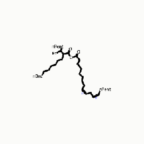 CCCCC/C=C\C/C=C\CCCCCCCC(=O)OC(=O)C(CCCCCCCCCCCCCCCC)C(CC)CCCCC